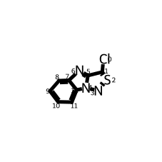 ClC1=S=Nn2c1nc1ccccc12